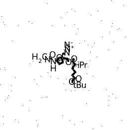 C=NC(=O)N[C@H]1CC[C@@](CN=[N+]=[N-])(COC(=O)[C@@H](CCCC(=O)OC(C)(C)C)C(C)C)O1